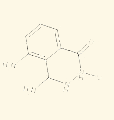 Nc1cccc2c1C(N)N[NH+]([O-])C2=O